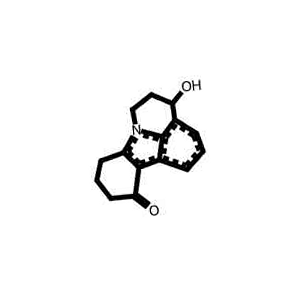 O=C1CCCc2c1c1cccc3c1n2CCC3O